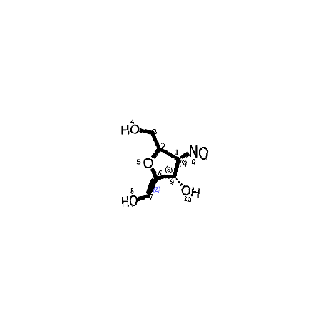 O=N[C@@H]1C(CO)O/C(=C\O)[C@H]1O